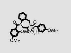 COc1ccc(S(=O)(=O)N2Cc3ccccc3N(C(=O)c3ccc(OC)cc3OC)CC2C(=O)O)cc1